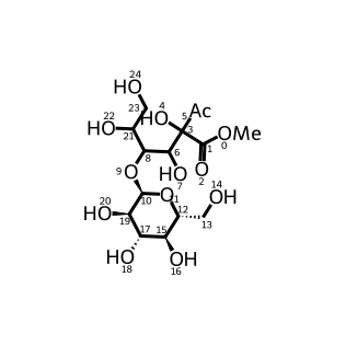 COC(=O)C(O)(C(C)=O)C(O)C(O[C@H]1O[C@H](CO)[C@@H](O)[C@H](O)[C@H]1O)C(O)CO